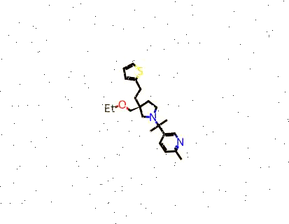 CCOC[C@@]1(CCc2cccs2)CCN(C(C)(C)c2ccc(C)nc2)C1